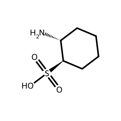 N[C@@H]1CCCC[C@H]1S(=O)(=O)O